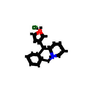 [Cl-].c1ccc2c(c1)C[n+]1ccccc1C2c1ccoc1